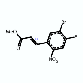 COC(=O)/C=C/c1cc(Br)c(F)cc1[N+](=O)[O-]